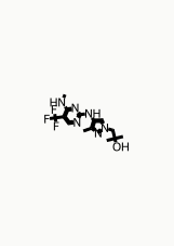 CNc1nc(Nc2cn(CC(C)(C)O)nc2C)ncc1C(F)(F)F